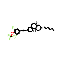 CCCCCC[C@@H]1CC[C@@H]2c3ccc(C#Cc4cc(F)c(OC(F)(F)F)c(F)c4)cc3CC[C@@H]2C1